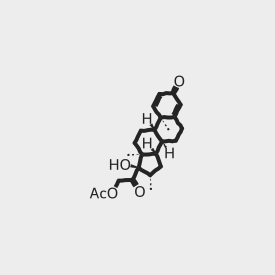 CC(=O)OCC(=O)[C@@]1(O)[C@@H](C)C[C@H]2[C@@H]3CCC4=CC(=O)C=C[C@]4(C)[C@H]3CC[C@@]21C